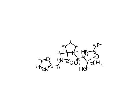 CC(C)C(=O)N[C@H](C(=O)N1CCCC12CN(Cc1nnco1)C2=O)[C@@H](C)O